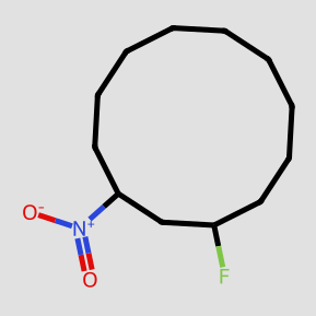 O=[N+]([O-])C1CCCCCCCCCC(F)C1